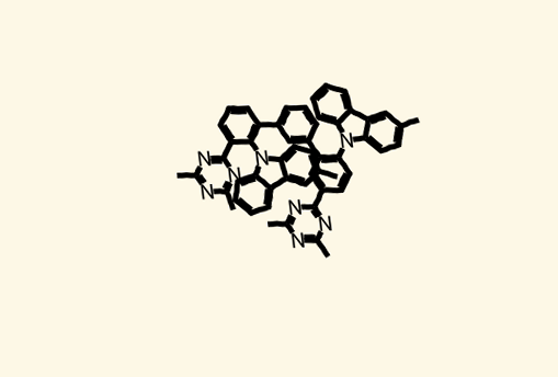 Cc1ccc2c(c1)c1ccccc1n2-c1ccc(-c2nc(C)nc(C)n2)cc1-c1cccc(-c2cccc(-c3nc(C)nc(C)n3)c2-n2c3ccccc3c3cc(C)ccc32)c1